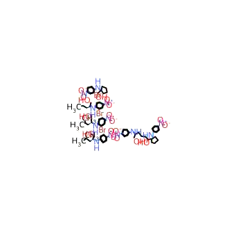 CC(C)C[C@@H](CO)Nc1ccc([N+](=O)[O-])cc1.CC(C)C[C@@H](CO)Nc1ccc([N+](=O)[O-])cc1Br.CCC[C@@H](CO)Nc1ccc([N+](=O)[O-])cc1Br.O=[N+]([O-])c1ccc(NC(CO)CCC[C@H](O)C2(Nc3ccc([N+](=O)[O-])cc3)CCCC2)cc1.O=[N+]([O-])c1ccc(NC2(CO)CCCC2)c(Br)c1